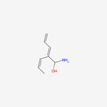 C=C/C=C(\C=C/C)C(N)O